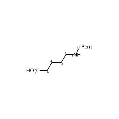 CCCCCNCCCCC(=O)O